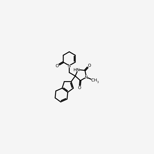 CN1C(=O)NC(CN2C=CCCC2=O)(C2=CC3=C(CCC=C3)C2)C1=O